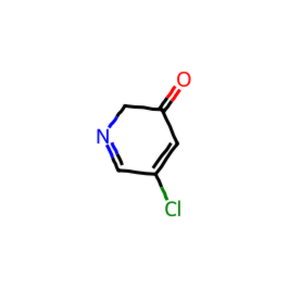 O=C1C=C(Cl)C=NC1